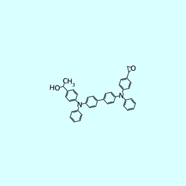 CC(O)c1ccc(N(c2ccccc2)c2ccc(-c3ccc(N(c4ccccc4)c4ccc(C5CO5)cc4)cc3)cc2)cc1